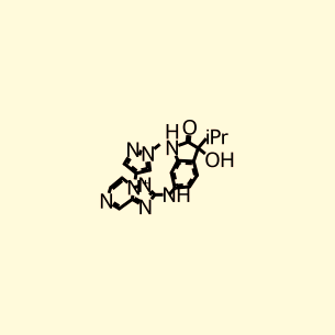 CC(C)C1(O)C(=O)Nc2cc(NC3=N[N+]4(c5cnn(C)c5)C=CN=CC4=N3)ccc21